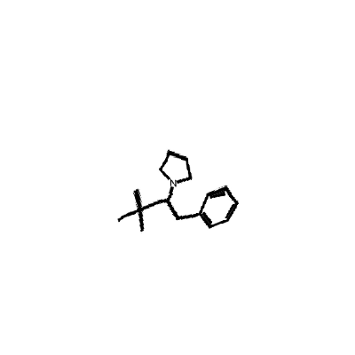 CC(C)(C)C(Cc1ccccc1)N1CCCC1